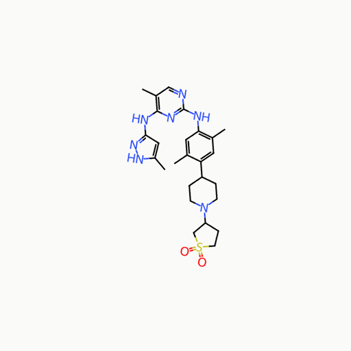 Cc1cc(Nc2nc(Nc3cc(C)c(C4CCN(C5CCS(=O)(=O)C5)CC4)cc3C)ncc2C)n[nH]1